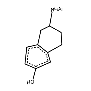 CC(=O)NC1CCc2cc(O)ccc2C1